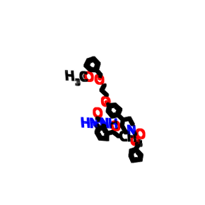 CCC(OC1CN(C(=O)OCc2ccccc2)CCC1c1ccc(OCCCOCc2ccccc2OC)cc1)c1cccc2[nH]c(=O)[nH]c12